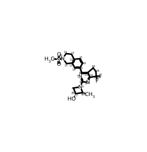 C[C@H]1[C@H](O)CN1c1nc(-c2ccc3c(c2)CN(S(C)(=O)=O)CC3)c2c(n1)C(F)(F)CC2